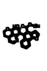 CC(C)(C)OC(C(=O)O)c1c(-c2ccc3c4c(ccnc24)CCO3)c2ccccc2c2occc12